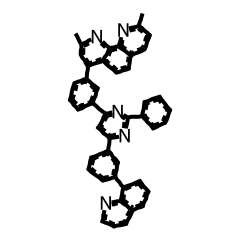 Cc1ccc2ccc3c(-c4cccc(-c5cc(-c6cccc(-c7cccc8cccnc78)c6)nc(-c6ccccc6)n5)c4)cc(C)nc3c2n1